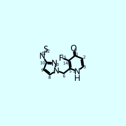 O=c1cc[nH]c(Cn2ccc(N=S)n2)c1F